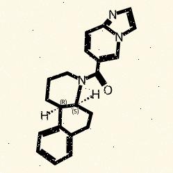 O=C(c1ccc2nccn2c1)N1CCC[C@@H]2c3ccccc3CC[C@@H]21